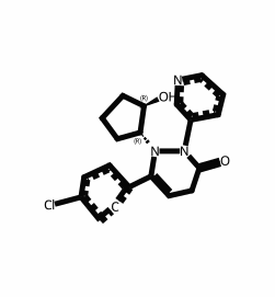 O=C1CC=C(c2ccc(Cl)cc2)N([C@@H]2CCC[C@H]2O)N1c1cccnc1